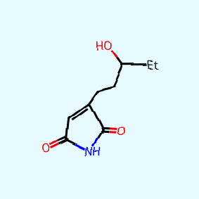 CCC(O)CCC1=CC(=O)NC1=O